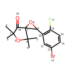 CC1(C)OC(C)(C)C2(OC2c2cc(Br)ccc2F)C1=O